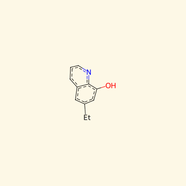 CCc1cc(O)c2ncccc2c1